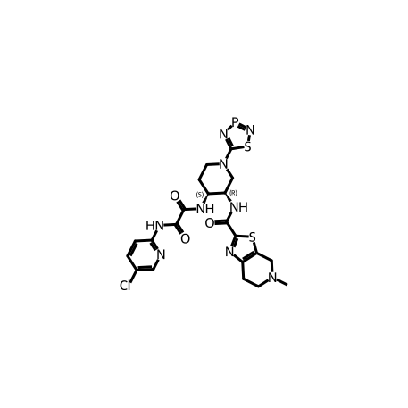 CN1CCc2nc(C(=O)N[C@@H]3CN(c4npns4)CC[C@@H]3NC(=O)C(=O)Nc3ccc(Cl)cn3)sc2C1